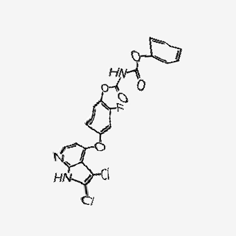 O=C(NC(=O)Oc1ccc(Oc2ccnc3[nH]c(Cl)c(Cl)c23)cc1F)Oc1ccccc1